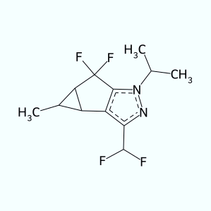 CC1C2c3c(C(F)F)nn(C(C)C)c3C(F)(F)C12